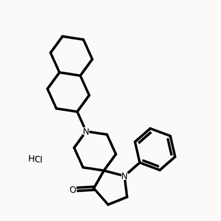 Cl.O=C1CCN(c2ccccc2)C12CCN(C1CCC3CCCCC3C1)CC2